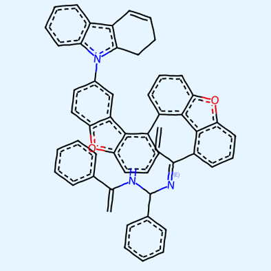 C=C/C(=N\C(NC(=C)c1ccccc1)c1ccccc1)c1cccc2oc3cccc(-c4cccc5oc6ccc(-n7c8c(c9ccccc97)C=CCC8)cc6c45)c3c12